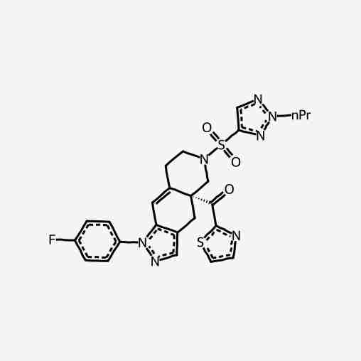 CCCn1ncc(S(=O)(=O)N2CCC3=Cc4c(cnn4-c4ccc(F)cc4)C[C@]3(C(=O)c3nccs3)C2)n1